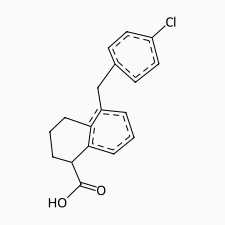 O=C(O)C1CCCc2c(Cc3ccc(Cl)cc3)cccc21